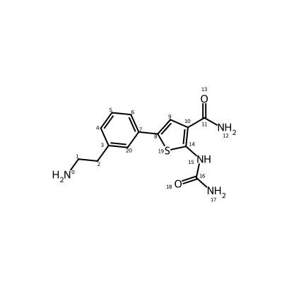 NCCc1cccc(-c2cc(C(N)=O)c(NC(N)=O)s2)c1